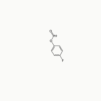 O=[PH]Oc1ccc(F)cc1